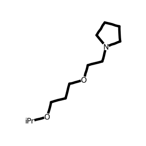 CC(C)OCCCOCCN1CCCC1